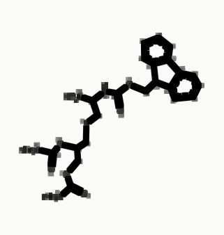 CCCCCCCC(=O)OCC(CSCC(NC(=O)OCC1c2ccccc2-c2ccccc21)C(=O)O)OC(=O)CCCCCCC